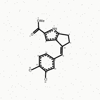 COC(=O)c1cc2c([nH]1)CCC2=Cc1ccc(Cl)c(Cl)c1